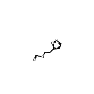 O=COCCc1ccno1